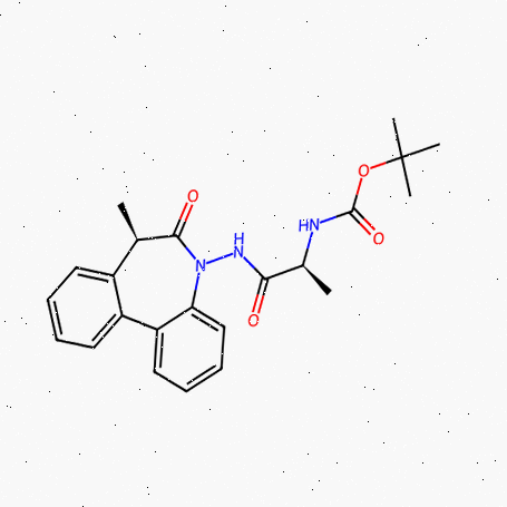 C[C@H](NC(=O)OC(C)(C)C)C(=O)NN1C(=O)[C@H](C)c2ccccc2-c2ccccc21